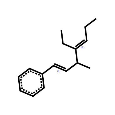 CC/C=C(\CC)C(C)/C=C/c1ccccc1